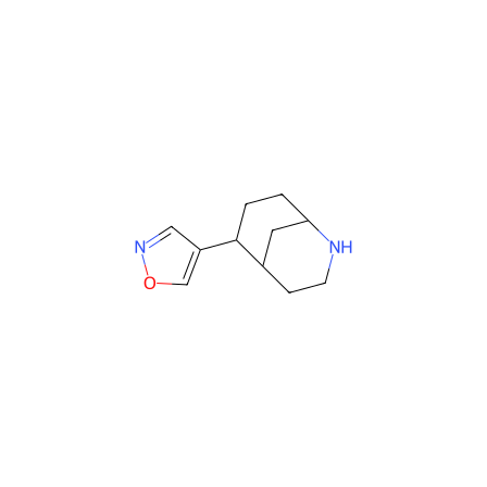 c1nocc1C1CCC2CC1CCN2